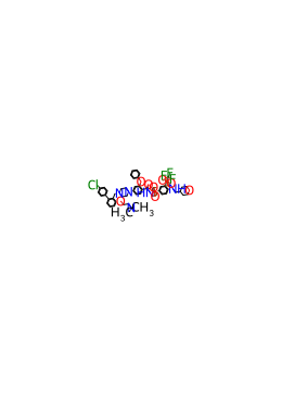 CN(C)CCOc1cccc(-c2ccc(Cl)cc2)c1CN1CCN(c2ccc(C(=O)NS(=O)(=O)c3ccc(NCC4CCOCC4)c(S(=O)(=O)C(F)(F)F)c3)c(Oc3ccccc3)c2)CC1